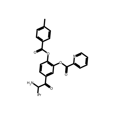 Cc1ccc(C(=O)Oc2ccc(C(=O)C(N)C(C)C)cc2OC(=O)c2ccccn2)cc1